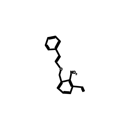 C=Cc1cccc(COC=Cc2ccccc2)c1[N+](=O)[O-]